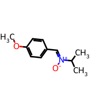 COc1ccc(C=[N+]([O-])C(C)C)cc1